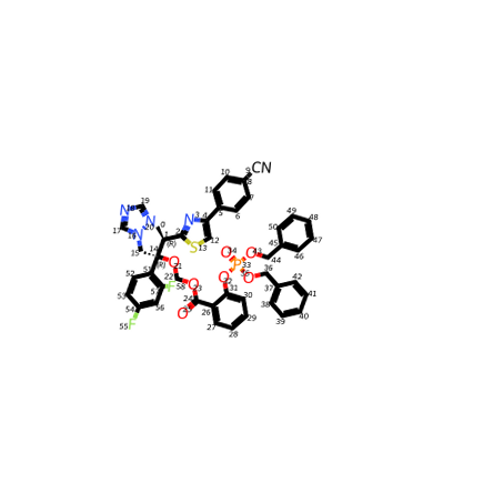 C[C@@H](c1nc(-c2ccc(C#N)cc2)cs1)[C@@](Cn1cncn1)(OCOC(=O)c1ccccc1OP(=O)(OCc1ccccc1)OCc1ccccc1)c1ccc(F)cc1F